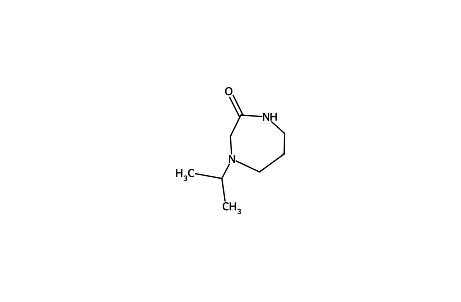 CC(C)N1CCCNC(=O)C1